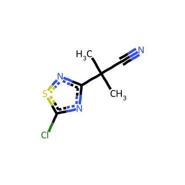 CC(C)(C#N)c1nsc(Cl)n1